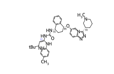 Cc1ccc(N/C(=C\C(=N)C(C)(C)C)NC(=O)N[C@H]2CC[C@@H](Oc3ccc4nnc([C@H]5CCCN(C)C5)n4c3)c3ccccc32)cc1